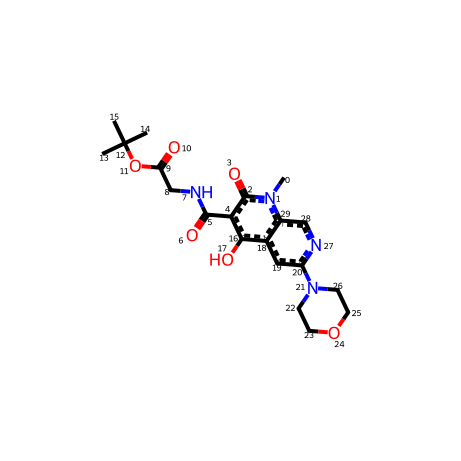 Cn1c(=O)c(C(=O)NCC(=O)OC(C)(C)C)c(O)c2cc(N3CCOCC3)ncc21